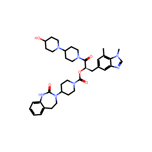 Cc1cc(C[C@@H](OC(=O)N2CCC(N3CCc4ccccc4NC3=O)CC2)C(=O)N2CCC(N3CCC(O)CC3)CC2)cc2ncn(C)c12